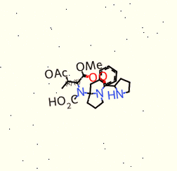 COC(=O)[C@H]([C@@H](C)OC(C)=O)N(C(=O)O)C1(Cc2ccccc2)CCCN1C(=O)C1CCCN1